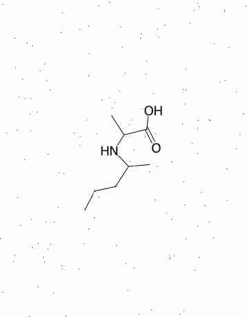 CCCC(C)NC(C)C(=O)O